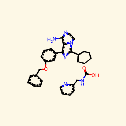 Nc1nccn2c(C3CCCCC3)nc(-c3cccc(OCc4ccccc4)c3)c12.O=C(O)NCc1ccccn1